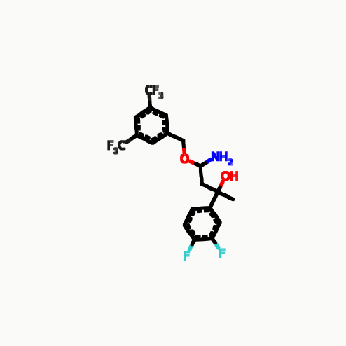 CC(O)(CC(N)OCc1cc(C(F)(F)F)cc(C(F)(F)F)c1)c1ccc(F)c(F)c1